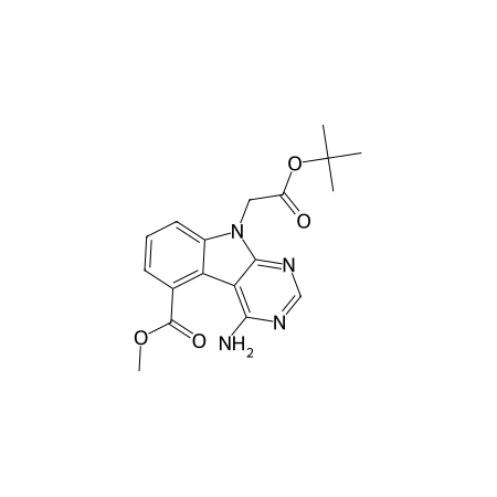 COC(=O)c1cccc2c1c1c(N)ncnc1n2CC(=O)OC(C)(C)C